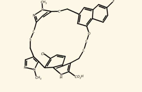 Cn1nc2cc1CCc1cc(c3ccc(F)cc3c1)OCCCc1c(C(=O)O)[nH]c3c(c(Cl)ccc13)-c1c(cnn1C)CSC2